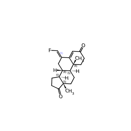 C[C@]12CCC(=O)C=C1/C(=C/F)C[C@@H]1[C@@H]2CC[C@]2(C)C(=O)CC[C@@H]12